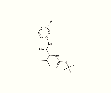 CC(C)C(NC(=O)OC(C)(C)C)C(=O)Nc1cccc(Br)c1